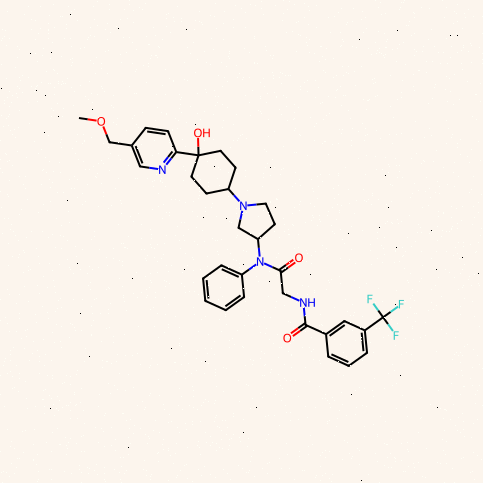 COCc1ccc(C2(O)CCC(N3CCC(N(C(=O)CNC(=O)c4cccc(C(F)(F)F)c4)c4ccccc4)C3)CC2)nc1